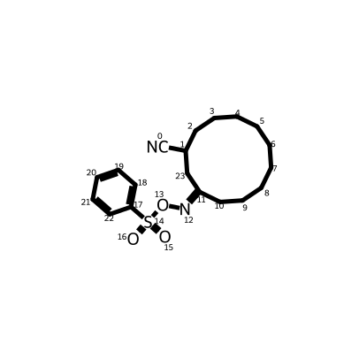 N#CC1CCCCCCCCCC(=NOS(=O)(=O)c2ccccc2)C1